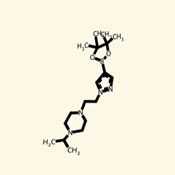 CC(C)N1CCN(CCn2cc(B3OC(C)(C)C(C)(C)O3)cn2)CC1